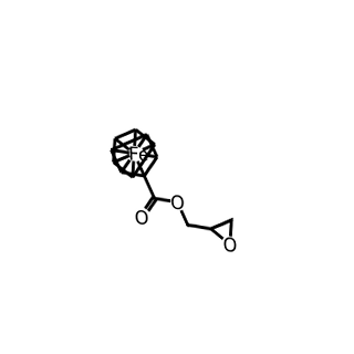 O=C(OCC1CO1)[C]12[CH]3[CH]4[CH]5[CH]1[Fe]45321678[CH]2[CH]1[CH]6[CH]7[CH]28